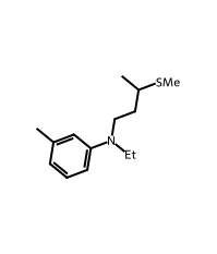 CCN(CCC(C)SC)c1cccc(C)c1